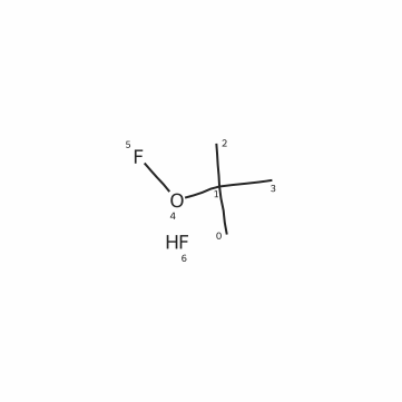 CC(C)(C)OF.F